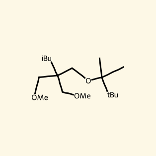 CCC(C)C(COC)(COC)COC(C)(C)C(C)(C)C